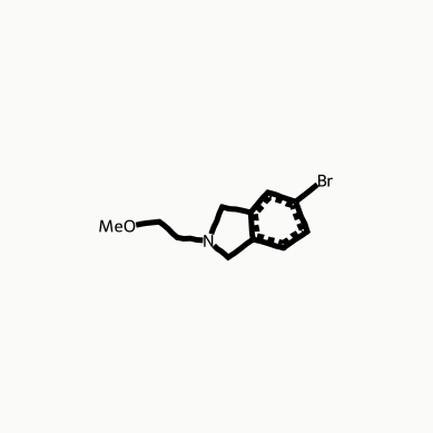 COCCN1Cc2ccc(Br)cc2C1